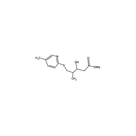 COC(=O)CC(O)C(C)CSc1ccc(C)cn1